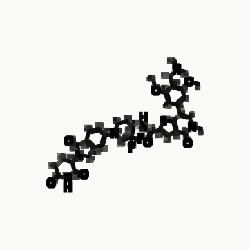 COc1cc(-c2cn(C)c(=O)c3cc(C(=O)N[C@H]4CCN(c5ccc6c(c5)CN(C5CCC(=O)NC5=O)C6=O)CC4(F)F)sc23)cc(OC)c1CN(C)C